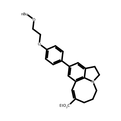 CCCCOCCOc1ccc(-c2cc3c4c(c2)CCN4CCCC(C(=O)OCC)=C3)cc1